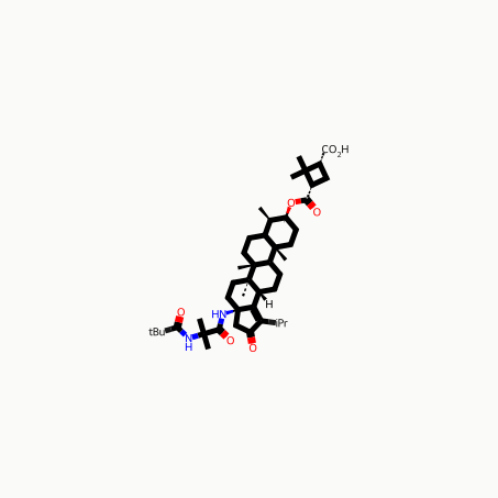 CC(C)C1=C2[C@H]3CCC4[C@@]5(C)CC[C@H](OC(=O)[C@H]6C[C@@H](C(=O)O)C6(C)C)[C@H](C)C5CC[C@@]4(C)[C@]3(C)CC[C@@]2(NC(=O)C(C)(C)NC(=O)C(C)(C)C)CC1=O